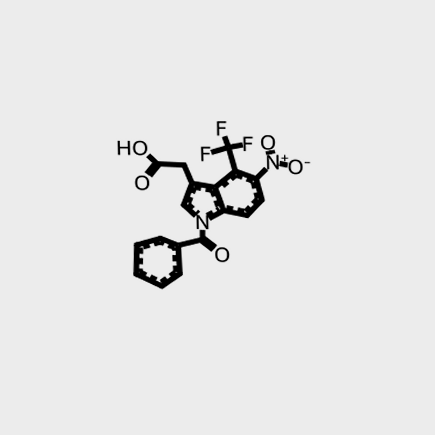 O=C(O)Cc1cn(C(=O)c2ccccc2)c2ccc([N+](=O)[O-])c(C(F)(F)F)c12